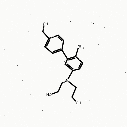 Nc1ccc(N(CCO)CCO)cc1-c1ccc(CO)cc1